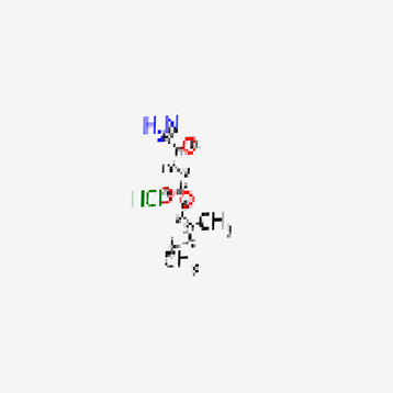 CCCC(C)COC(=O)CCC(=O)CN.Cl